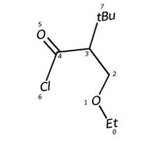 CCOCC(C(=O)Cl)C(C)(C)C